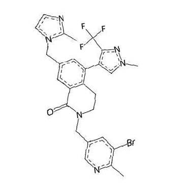 Cc1ncc(CN2CCc3c(cc(Cn4ccnc4C)cc3-c3cn(C)nc3C(F)(F)F)C2=O)cc1Br